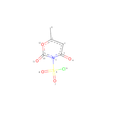 Cc1cc(=O)n(S(=O)(=O)Cl)c(=O)o1